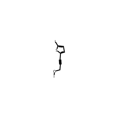 IOCC#Cc1ccc(I)s1